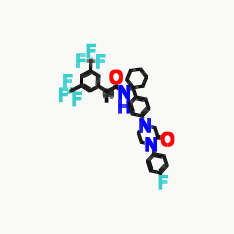 C[C@H](C(=O)NC1(c2ccc(N3CCN(c4ccc(F)cc4)C(=O)C3)cc2)CCCCC1)c1cc(C(F)(F)F)cc(C(F)(F)F)c1